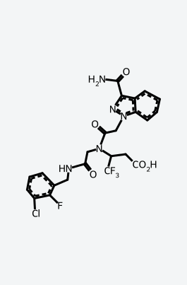 NC(=O)c1nn(CC(=O)N(CC(=O)NCc2cccc(Cl)c2F)C(CC(=O)O)C(F)(F)F)c2ccccc12